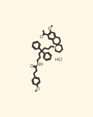 COc1ccc(CCC(=O)NCCCC(CCCN2CCCCC23CCc2cc(OC)c(C(C)=O)cc2C3)(c2ccccc2)c2ccccc2)cc1.Cl